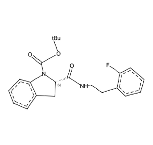 CC(C)(C)OC(=O)N1c2ccccc2C[C@H]1C(=O)NCCc1ccccc1F